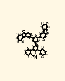 N#Cc1ccccc1-c1cc(-c2ccccc2)cc(-c2cc(-c3ccc4sc5ccccc5c4c3)cc(-c3ccc4sc5ccccc5c4c3)c2)c1